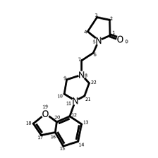 O=C1CCCN1CCN1CCN(c2cccc3ccoc23)CC1